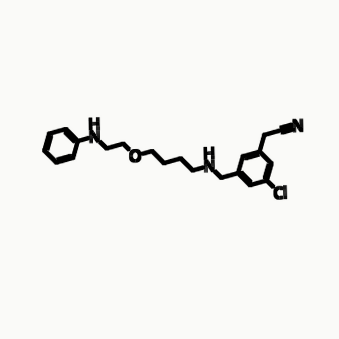 N#CCc1cc(Cl)cc(CNCCCCOCCNc2ccccc2)c1